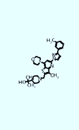 Cc1cccc(-c2ccn(-c3cc(N4CCOCC4)c4sc(CN5CCC(C(C)(C)O)CC5)c(C)c4n3)n2)c1